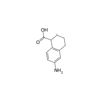 Nc1ccc2c(c1)CC[C]C2C(=O)O